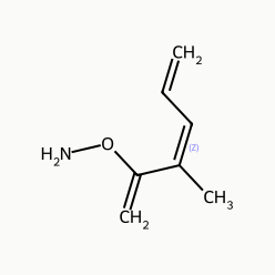 C=C/C=C(/C)C(=C)ON